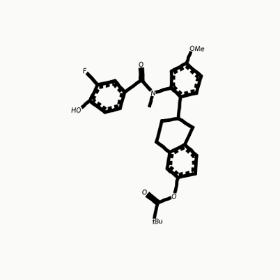 COc1ccc(C2CCc3cc(OC(=O)C(C)(C)C)ccc3C2)c(N(C)C(=O)c2ccc(O)c(F)c2)c1